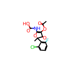 CC(=O)OC1=C(NC(=O)O)OC(C)(c2c(F)cccc2Cl)C1=O